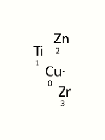 [Cu].[Ti].[Zn].[Zr]